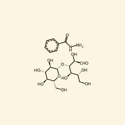 NNC(=O)c1ccccc1.O=C[C@H](O)[C@@H](O[C@@H]1O[C@H](CO)[C@@H](O)[C@H](O)[C@H]1O)[C@H](O)[C@H](O)CO